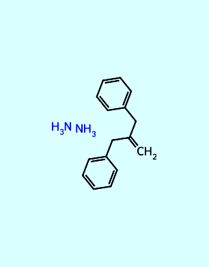 C=C(Cc1ccccc1)Cc1ccccc1.N.N